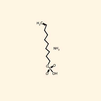 C=CCCCCCCCCOS(=O)(=O)O.N